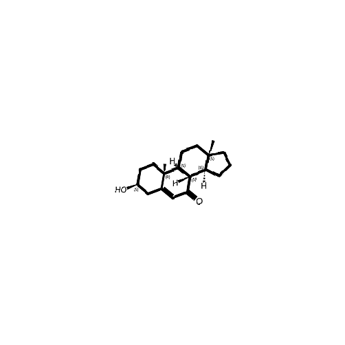 C[C@@]12CCC[C@H]1[C@@H]1C(=O)C=C3C[C@@H](O)CC[C@]3(C)[C@H]1CC2